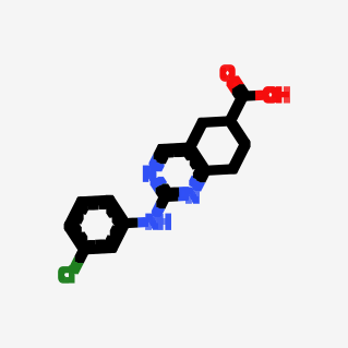 O=C(O)C1CCc2nc(Nc3cccc(Cl)c3)ncc2C1